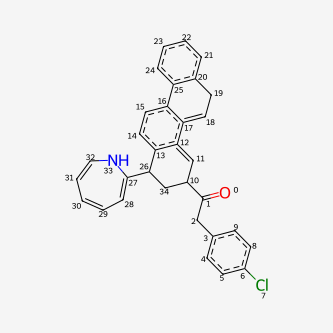 O=C(Cc1ccc(Cl)cc1)C1C=c2c(ccc3c2=CCc2ccccc2-3)C(C2=CC=CC=CN2)C1